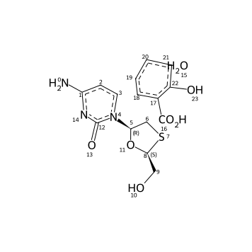 Nc1ccn([C@H]2CS[C@@H](CO)O2)c(=O)n1.O.O=C(O)c1ccccc1O